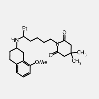 CCC(CCCCN1C(=O)CC(C)(C)CC1=O)NC1CCc2cccc(OC)c2C1